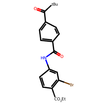 CCOC(=O)c1ccc(NC(=O)c2ccc(C(=O)C(C)(C)C)cc2)cc1Br